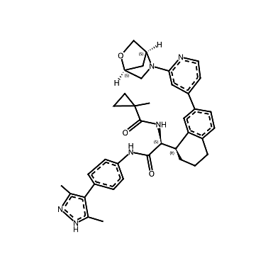 Cc1n[nH]c(C)c1-c1ccc(NC(=O)[C@@H](NC(=O)C2(C)CC2)[C@@H]2CCCc3ccc(-c4ccnc(N5C[C@@H]6C[C@H]5CO6)c4)cc32)cc1